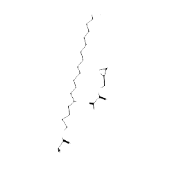 C=C(C)C(=O)OCC1CO1.C=CC(=O)OCCCCCCCCCCCCCCCCCC